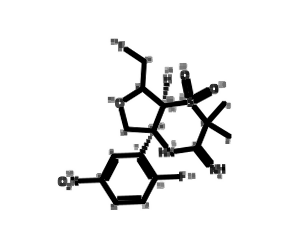 CC1(C)C(=N)N[C@@]2(c3cc([N+](=O)[O-])ccc3F)COC(CF)[C@H]2S1(=O)=O